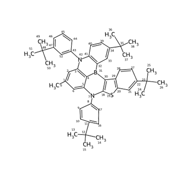 Cc1cc2c3c(c1)N(c1ccc(C(C)(C)C)cc1)c1sc4cc(C(C)(C)C)ccc4c1B3c1cc(C(C)(C)C)ccc1N2c1cccc(C(C)(C)C)c1